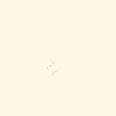 CCCC1CCC(OCCCC2CCC(c3ccc(C)c(C(F)F)c3F)CC2)CC1